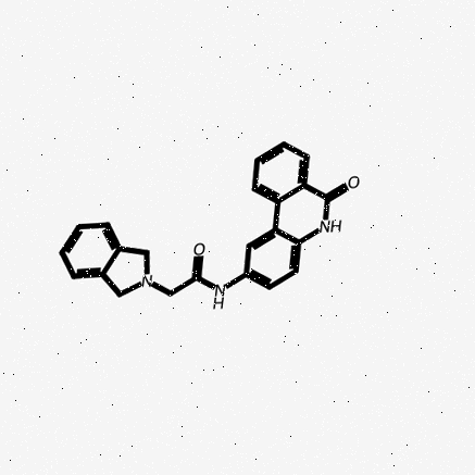 O=C(CN1Cc2ccccc2C1)Nc1ccc2[nH]c(=O)c3ccccc3c2c1